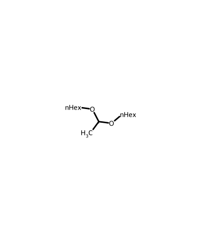 CCCCCCO[C](C)OCCCCCC